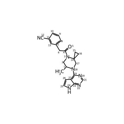 CC1CN(C(=O)Cc2cccc(C#N)c2)C2(CC2)CN1c1ncnc2[nH]ccc12